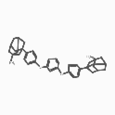 NC12CC3CC(C1)CC(c1ccc(Oc4cccc(Oc5ccc(C67CC8CC(CC(N)(C8)C6)C7)cc5)c4)cc1)(C3)C2